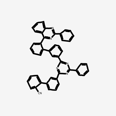 N#Cc1ccccc1-c1cccc(-c2nc(-c3ccccc3)nc(-c3cccc(-c4ccccc4-c4nc(-c5ccccc5)nc5ccccc45)c3)n2)c1